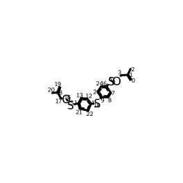 C=C(C)COSc1ccc(Sc2ccc(SOCC(=C)C)cc2)cc1